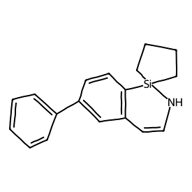 C1=Cc2cc(-c3ccccc3)ccc2[Si]2(CCCC2)N1